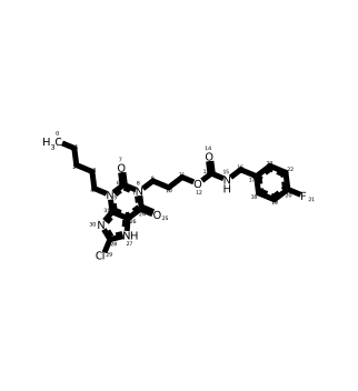 CCCCCn1c(=O)n(CCCOC(=O)NCc2ccc(F)cc2)c(=O)c2[nH]c(Cl)nc21